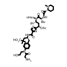 CCCCCCN(C(=O)[C@@H](NC1OC1[C@H]1CCCCN1C)[C@@H](C)CC)[C@H](C[C@@H](OC(C)=O)c1nc(C(=O)N[C@@H](Cc2ccc(N(CCO)C(=O)CN)cc2)CC(C)(C)C(=O)O)cs1)C(C)C